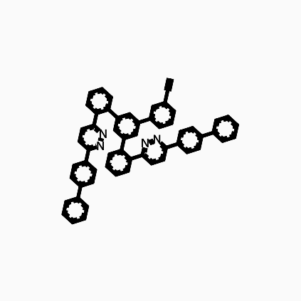 C#Cc1cccc(-c2cc(-c3ccccc3-c3ccc(-c4ccc(-c5ccccc5)cc4)nn3)cc(-c3ccccc3-c3ccc(-c4ccc(-c5ccccc5)cc4)nn3)c2)c1